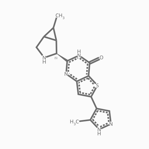 Cc1[nH]ncc1-c1cc2nc([C@H]3NCC4C(C)C43)[nH]c(=O)c2s1